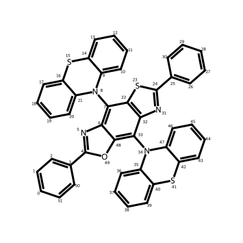 c1ccc(-c2nc3c(N4c5ccccc5Sc5ccccc54)c4sc(-c5ccccc5)nc4c(N4c5ccccc5Sc5ccccc54)c3o2)cc1